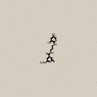 CC(=O)Nc1cc(C(=O)NCCCNc2ncc(C(F)(F)F)cc2Cl)cc(C)n1